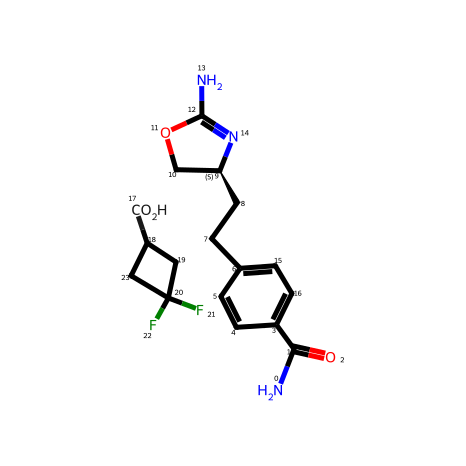 NC(=O)c1ccc(CC[C@H]2COC(N)=N2)cc1.O=C(O)C1CC(F)(F)C1